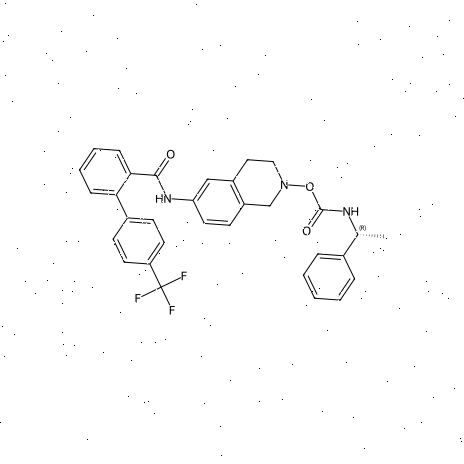 C[C@@H](NC(=O)ON1CCc2cc(NC(=O)c3ccccc3-c3ccc(C(F)(F)F)cc3)ccc2C1)c1ccccc1